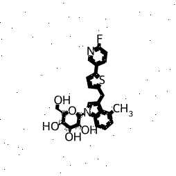 Cc1cccc2c1c(Cc1ccc(-c3ccc(F)nc3)s1)cn2[C@@H]1O[C@H](CO)[C@@H](O)[C@H](O)[C@H]1O